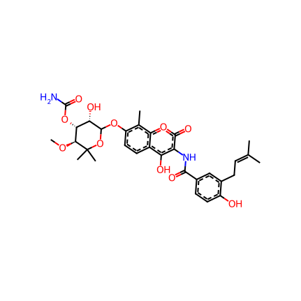 CO[C@H]1[C@H](OC(N)=O)[C@H](O)C(Oc2ccc3c(O)c(NC(=O)c4ccc(O)c(CC=C(C)C)c4)c(=O)oc3c2C)OC1(C)C